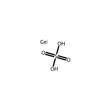 O=S(=O)(O)O.[Ge]